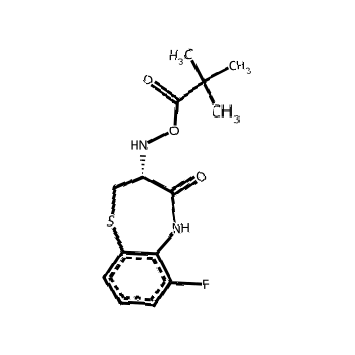 CC(C)(C)C(=O)ON[C@H]1CSc2cccc(F)c2NC1=O